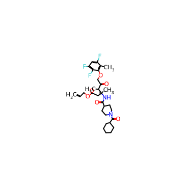 C=CCOC(=O)C[C@@](C)(NC(=O)C1CCN(C(=O)C2CCCCC2)CC1)C(C)C(=O)COc1c(C)c(F)cc(F)c1F